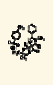 CN(Cc1ccccc1)C(=O)C1(N)C(=O)N2CC(C)(C)S[C@@H]21.Cc1ccc(S(=O)(=O)O)cc1